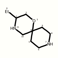 CCC1COC2(CCNCC2)CN1